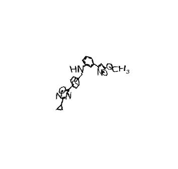 COc1cc(-c2cccc(NCC34CCC(c5nc(C6CC6)no5)(CC3)CC4)c2)no1